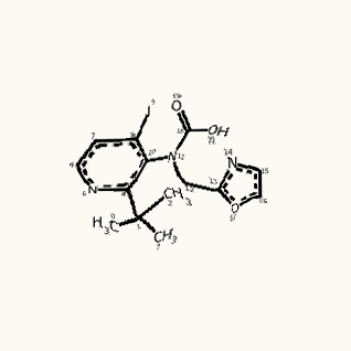 CC(C)(C)c1nccc(I)c1N(Cc1ncco1)C(=O)O